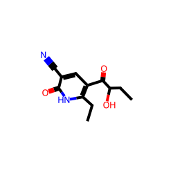 CCc1[nH]c(=O)c(C#N)cc1C(=O)C(O)CC